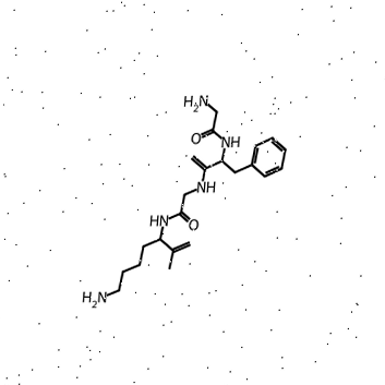 C=C(C)C(CCCCN)NC(=O)CNC(=C)C(Cc1ccccc1)NC(=O)CN